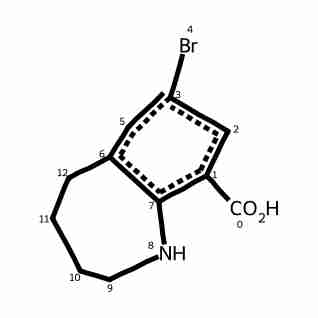 O=C(O)c1cc(Br)cc2c1NCCCC2